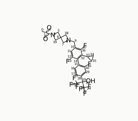 CS(=O)(=O)N1CC2(CN(Cc3cc(F)c(-c4ccc(C(O)(C(F)(F)F)C(F)(F)F)cc4F)c(C4CC4)c3F)C2)C1